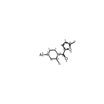 CC(=O)N1CCN(C(=O)c2ccc(C)o2)C(C)C1